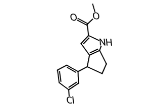 COC(=O)c1cc2c([nH]1)CCC2c1cccc(Cl)c1